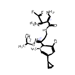 CC(C)O/N=C(/CNC(=O)/C(=C/N)C(N)C(F)F)C1C(Cl)=CC(C2CC2)=CN1C